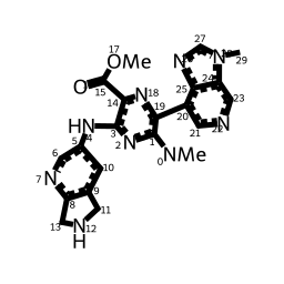 CNc1nc(Nc2cnc3c(c2)CNC3)c(C(=O)OC)nc1-c1cncc2c1ncn2C